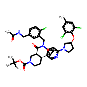 CC(=O)NCc1ccc(Cl)c(CN(C(=O)[C@@H]2CN(C(=O)OC(C)(C)C)CC[C@H]2c2ccc(N3CC[C@H](Oc4c(Cl)cc(C)cc4Cl)C3)nc2)C2CC2)c1